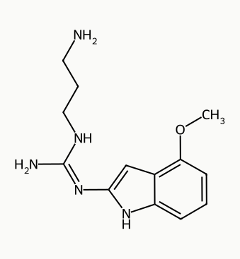 COc1cccc2[nH]c(N=C(N)NCCCN)cc12